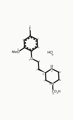 COc1cc(F)ccc1OCC[C@@H]1CN(C(=O)O)CCN1.Cl